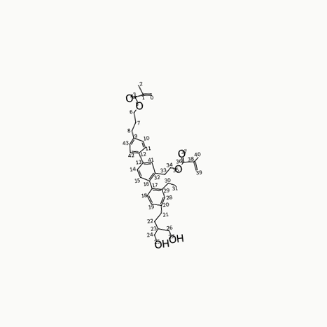 C=C(C)C(=O)OCCCc1ccc(-c2ccc(-c3ccc(CCC(CO)CO)cc3CC)c(CCOC(=O)C(=C)C)c2)cc1